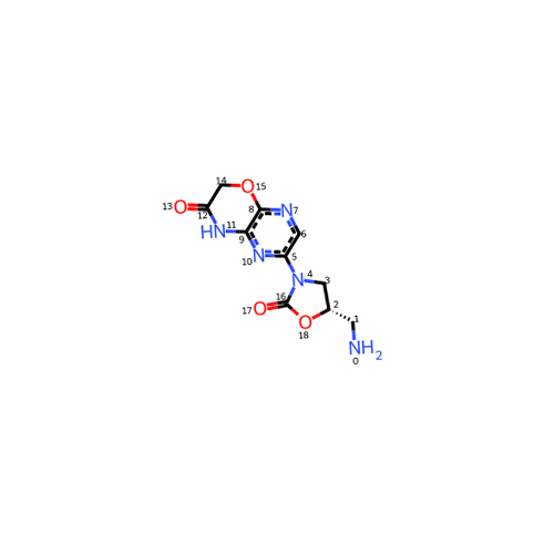 NC[C@H]1CN(c2cnc3c(n2)NC(=O)CO3)C(=O)O1